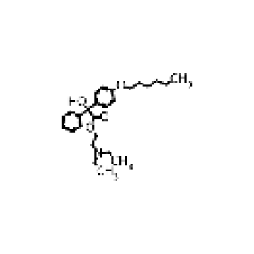 CCCCCCOc1ccc(C(O)(C(=O)OCCN(CC)CC)c2ccccc2)cc1